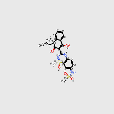 CC(C)(C)CC[C@@]1(C)C(=O)C(C2=Nc3ccc(NS(C)(=O)=O)cc3[S@@](C)(=O)=N2)=C(O)c2ccccc21